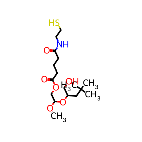 COC(COC(=O)CCCC(=O)NCCS)OC(CO)CC(C)(C)C